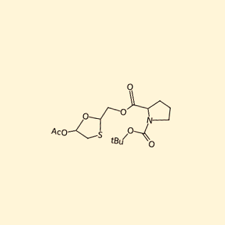 CC(=O)OC1CSC(COC(=O)C2CCCN2C(=O)OC(C)(C)C)O1